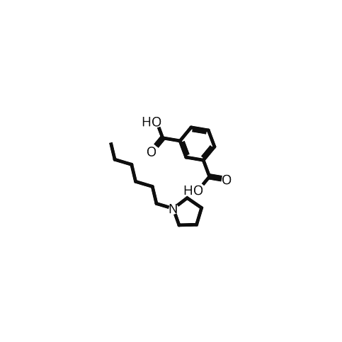 CCCCCCN1CCCC1.O=C(O)c1cccc(C(=O)O)c1